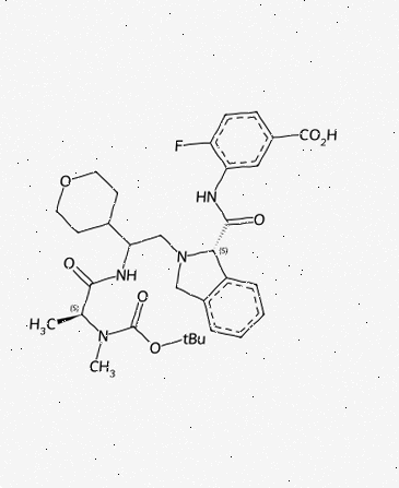 C[C@@H](C(=O)NC(CN1Cc2ccccc2[C@H]1C(=O)Nc1cc(C(=O)O)ccc1F)C1CCOCC1)N(C)C(=O)OC(C)(C)C